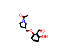 CC(=O)N1CC[C@H](COc2cccc(O)c2C=O)C1